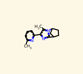 Cc1cccc(-c2nc3n(c2C)C2CCC3C2)n1